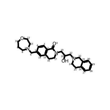 O=C1c2ccc(CN3CCCOCC3)cc2CCN1CC(O)CN1CCc2ccccc2C1